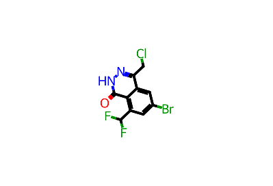 O=c1[nH]nc(CCl)c2cc(Br)cc(C(F)F)c12